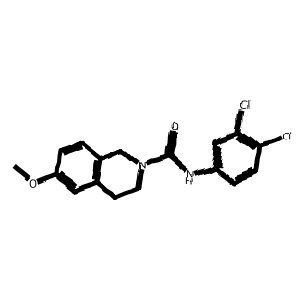 COc1ccc2c(c1)CCN(C(=O)Nc1ccc(Cl)c(Cl)c1)C2